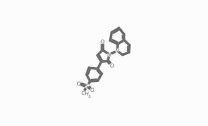 CS(=O)(=O)c1ccc(C2=CC(=O)N(N3CC=Cc4ccccc43)C2=O)cc1